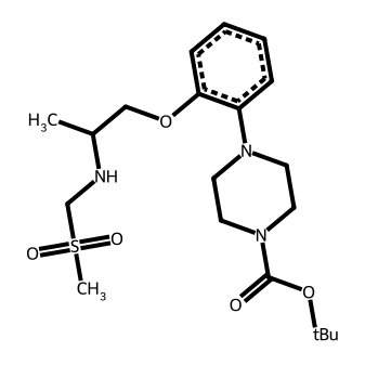 CC(COc1ccccc1N1CCN(C(=O)OC(C)(C)C)CC1)NCS(C)(=O)=O